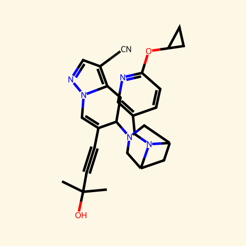 CC(C)(O)C#CC1=Cn2ncc(C#N)c2CC1N1CC2CC(C1)N2Cc1ccc(OC2CC2)nc1